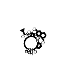 CN(C(=O)C1CC1)[C@H]1CCCCCS(=O)(=O)NC(=O)c2ccc3c(c2)N(C[C@@H]2CC[C@H]21)C[C@@]1(CCCc2cc(Cl)ccc21)CO3